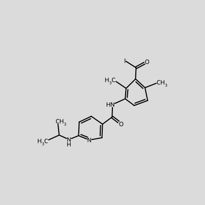 Cc1ccc(NC(=O)c2ccc(NC(C)C)nc2)c(C)c1C(=O)I